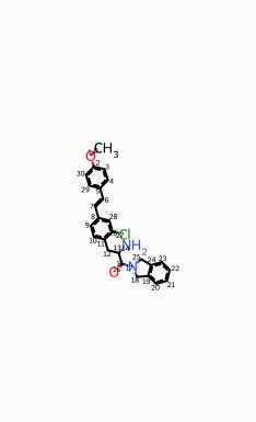 COc1ccc(C=Cc2ccc(CC(N)C(=O)N3Cc4ccccc4C3)c(Cl)c2)cc1